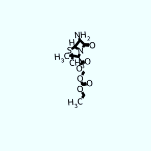 CCOC(=O)OCOC(=O)[C@@H]1N2C(=O)C(N)[C@H]2SC1(C)C